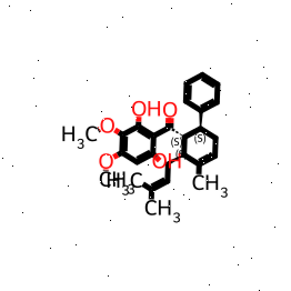 COc1cc(O)c(C(=O)[C@H]2[C@H](CC=C(C)C)C(C)=CC[C@@H]2c2ccccc2)c(O)c1OC